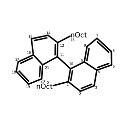 CCCCCCCCc1ccc2ccccc2c1-c1c(CCCCCCCC)ccc2ccccc12